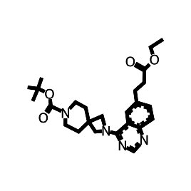 CCOC(=O)CCc1ccc2ncnc(N3CC4(CCN(C(=O)OC(C)(C)C)CC4)C3)c2c1